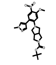 COc1cc(N2CC3CN(C(=O)OC(C)(C)C)CC3C2)c(-c2cnn(C)c2)cc1[N+](=O)[O-]